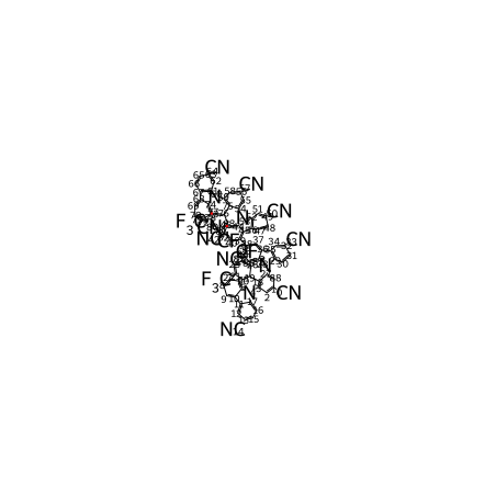 N#Cc1cc(-n2c3ccccc3c3cc(C#N)ccc32)c(-c2cc(C(F)(F)F)cc(C(F)(F)F)c2)c(-n2c3ccc(C#N)cc3c3cc(-c4cc(C#N)cc5c4c4ccc(C#N)cc4n5-c4cc(C#N)cc(-n5c6cc(C#N)ccc6c6ccc(C#N)cc65)c4-c4cc(C(F)(F)F)cc(C(F)(F)F)c4)c(C#N)cc32)c1